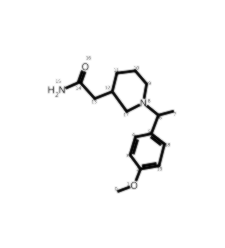 COc1ccc(C(C)N2CCCC(CC(N)=O)C2)cc1